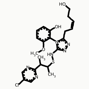 COc1cccc(O)c1-n1c(C/C=C\CCO)nnc1NSC(C)C(C)c1ncc(Cl)cn1